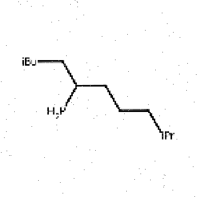 CCC(C)CC(P)CCCC(C)C